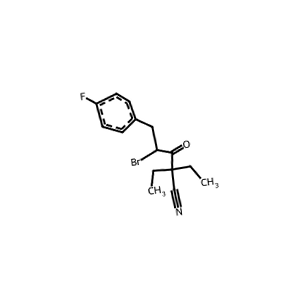 CCC(C#N)(CC)C(=O)C(Br)Cc1ccc(F)cc1